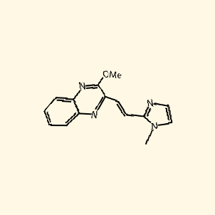 COc1nc2ccccc2nc1/C=C/c1nccn1C